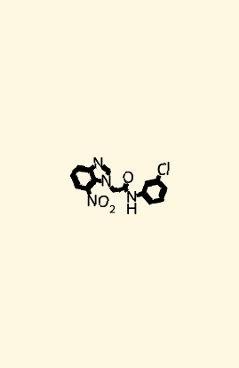 O=C(Cn1cnc2cccc([N+](=O)[O-])c21)Nc1cccc(Cl)c1